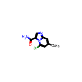 COc1cc(Br)n2c(C(N)=O)cnc2c1